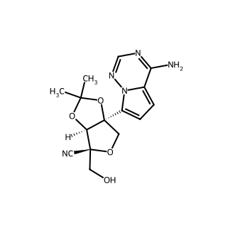 CC1(C)O[C@@H]2[C@@](C#N)(CO)OC[C@]2(c2ccc3c(N)ncnn23)O1